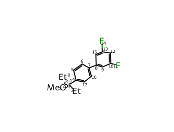 CC[Si](CC)(OC)c1ccc(-c2cc(F)cc(F)c2)cc1